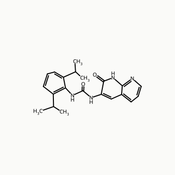 CC(C)c1cccc(C(C)C)c1NC(=O)Nc1cc2cccnc2[nH]c1=O